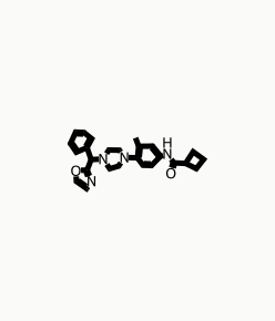 Cc1cc(NC(=O)C2CCC2)ccc1N1CCN(C(c2ccccc2)c2ncco2)CC1